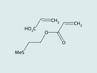 C=CC(=O)O.C=CC(=O)OCCSC